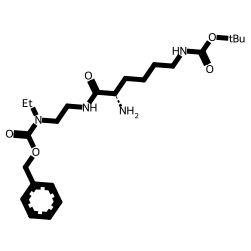 CCN(CCNC(=O)[C@@H](N)CCCCNC(=O)OC(C)(C)C)C(=O)OCc1ccccc1